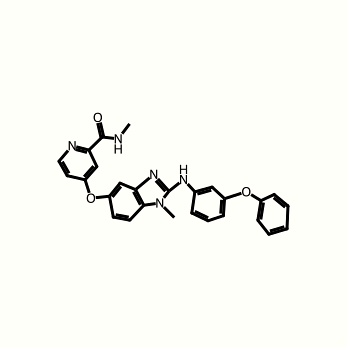 CNC(=O)c1cc(Oc2ccc3c(c2)nc(Nc2cccc(Oc4ccccc4)c2)n3C)ccn1